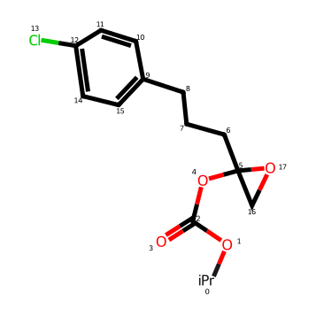 CC(C)OC(=O)OC1(CCCc2ccc(Cl)cc2)CO1